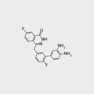 Nc1ccc(-c2cc(Cc3n[nH]c(=O)c4cc(F)ccc34)ccc2F)cc1N